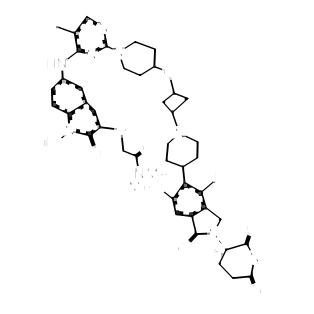 CNC(=O)COc1cc2cc(Nc3nc(N4CCC(OC5CC(N6CCC(c7c(OC)cc8c(c7F)CN([C@@H]7CCC(=O)NC7=O)C8=O)CC6)C5)CC4)ncc3Cl)ccc2n(C(C)C)c1=O